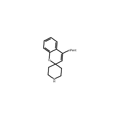 CCCCCC1=CC2(CCNCC2)Oc2ccccc21